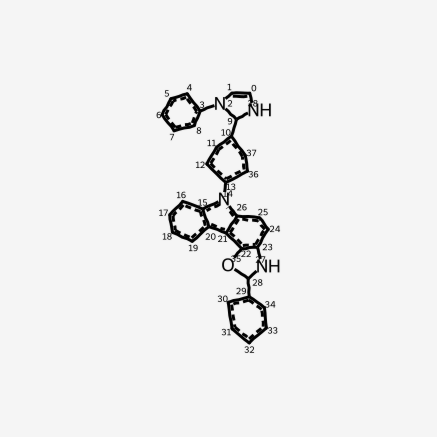 C1=CN(c2ccccc2)C(c2ccc(-n3c4ccccc4c4c5c(ccc43)NC(c3ccccc3)O5)cc2)N1